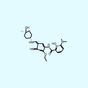 CCOC1=CC(=N)/C(=C\N[C@H]2CC[C@](C)(O)CC2)C=C1NC(=O)c1cccc(N(C)C)[n+]1O